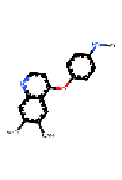 CCNc1ccc(Oc2ccnc3cc(OC)c(OC)cc23)cc1